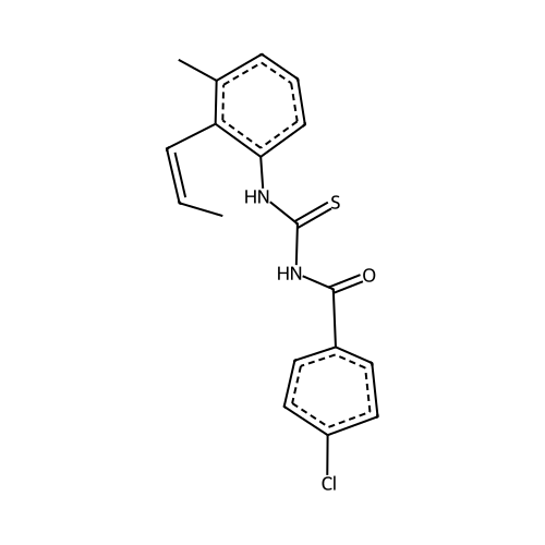 C/C=C\c1c(C)cccc1NC(=S)NC(=O)c1ccc(Cl)cc1